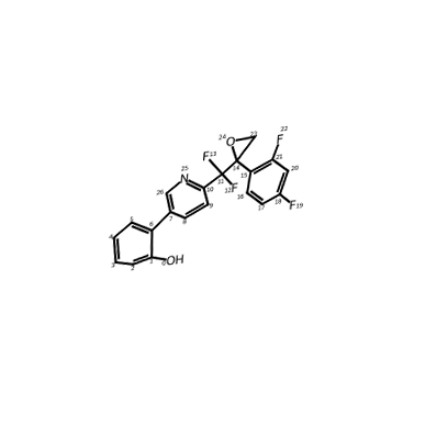 Oc1ccccc1-c1ccc(C(F)(F)C2(c3ccc(F)cc3F)CO2)nc1